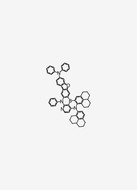 c1ccc(N(c2ccccc2)c2ccc3c(c2)oc2cc4c(cc23)N(c2ccccc2)c2nccc3c2B4c2cc4c5c(c2N3c2ccc3c6c2CCCC6CCC3)CCCC5CCC4)cc1